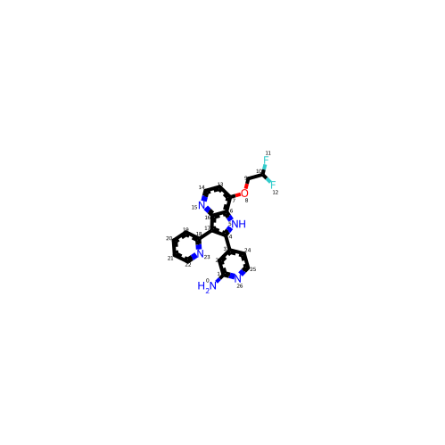 Nc1cc(-c2[nH]c3c(OCC(F)F)ccnc3c2-c2ccccn2)ccn1